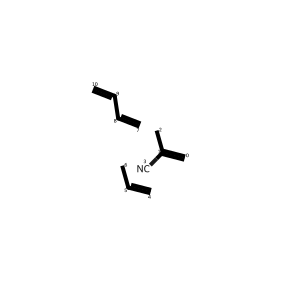 C=C(C)C#N.C=CC.C=CC=C